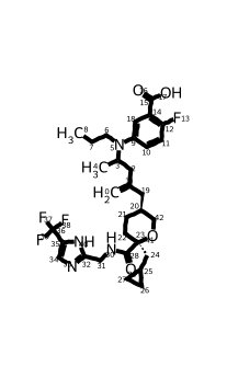 C=C(CC(C)N(CCC)c1ccc(F)c(C(=O)O)c1)C[C@@H]1CC[C@](CC2CC2)(C(=O)NCc2ncc(C(F)(F)F)[nH]2)OC1